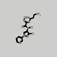 CCN(C(=O)C(=NOC)SCCCC(F)(F)F)c1cn(-c2cccnc2)nc1Cl